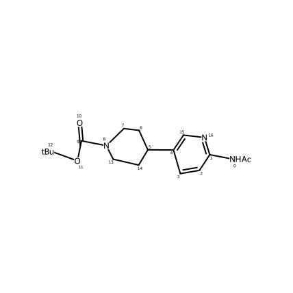 CC(=O)Nc1ccc(C2CCN(C(=O)OC(C)(C)C)CC2)cn1